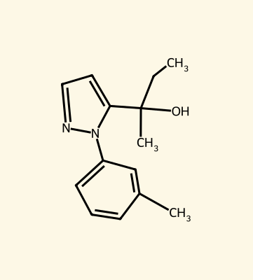 CCC(C)(O)c1ccnn1-c1cccc(C)c1